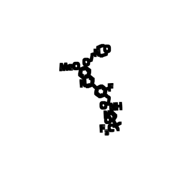 COc1cc2ncc(-c3ccc(CC(=O)Nc4cc(C(C)(C)C(F)(F)F)on4)c(F)c3)cc2cc1OCCN1CCOCC1